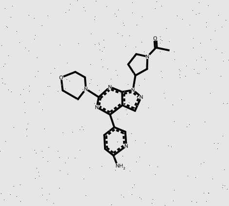 CC(=O)N1CCC(n2ncc3c(-c4ccc(N)nc4)nc(N4CCOCC4)nc32)C1